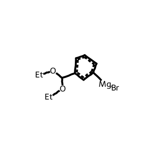 CCOC(OCC)c1ccc[c]([Mg][Br])c1